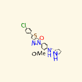 COc1cc(-n2cnc3cc(-c4ccc(Cl)cc4)sc3c2=O)ccc1NC[C@@H]1CCCN1